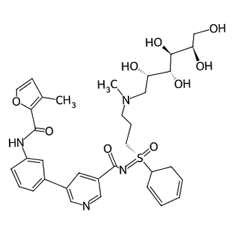 Cc1ccoc1C(=O)Nc1cccc(-c2cncc(C(=O)N=[S@](=O)(CCCN(C)C[C@H](O)[C@@H](O)[C@@H](O)[C@H](O)CO)C3C=CC=CC3)c2)c1